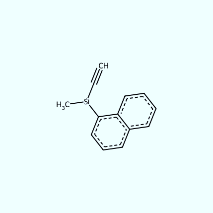 C#C[Si](C)c1cccc2ccccc12